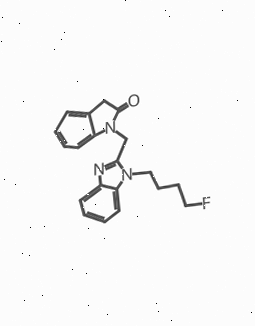 O=C1Cc2ccccc2N1Cc1nc2ccccc2n1CCCCF